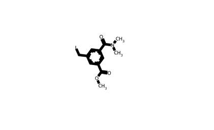 COC(=O)c1cc(CI)cc(C(=O)N(C)C)c1